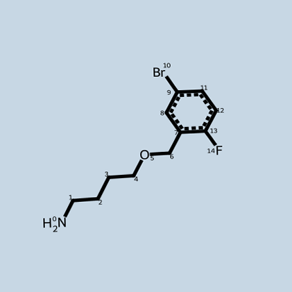 NCCCCOCc1cc(Br)ccc1F